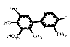 Cc1cc(-c2cc(C(C)(C)C)c(O)c(C(=O)O)c2C)ccc1F